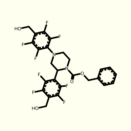 O=C(OCc1ccccc1)N1CCN(c2c(F)c(F)c(CO)c(F)c2F)CC1c1c(F)c(F)c(CO)c(F)c1F